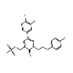 Cc1cc(-c2cc(COS(C)(=O)=O)c(=O)n(CCCc3ccc(Cl)cc3)n2)ccc1F